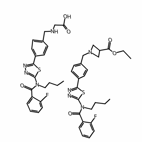 CCCCN(C(=O)c1ccccc1F)c1nnc(-c2ccc(CN3CC(C(=O)OCC)C3)cc2)s1.CCCCN(C(=O)c1ccccc1F)c1nnc(-c2ccc(CNCC(=O)O)cc2)s1